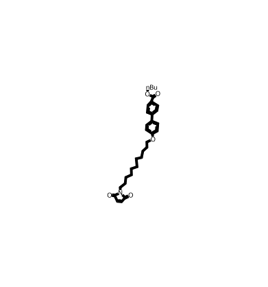 CCCCOC(=O)c1ccc(-c2ccc(OCCCCCCCCCCCN3C(=O)C=CC3=O)cc2)cc1